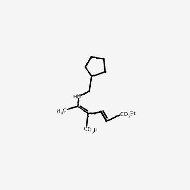 CCOC(=O)C=CC(C(=O)O)=C(C)NCC1CCCC1